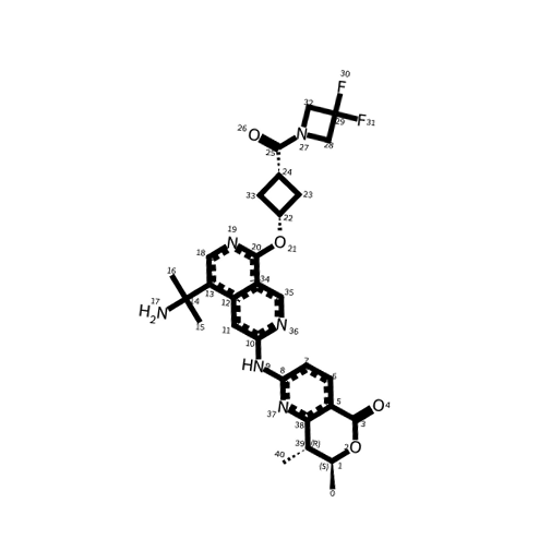 C[C@@H]1OC(=O)c2ccc(Nc3cc4c(C(C)(C)N)cnc(O[C@H]5C[C@@H](C(=O)N6CC(F)(F)C6)C5)c4cn3)nc2[C@H]1C